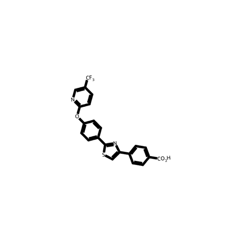 O=C(O)c1ccc(-c2csc(-c3ccc(Oc4ccc(C(F)(F)F)cn4)cc3)n2)cc1